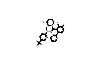 C[C@@H]1CCCN(C(=O)c2c(-c3ncccn3)ccc(F)c2F)[C@@H]1CNc1ccc(C(F)(F)F)cn1